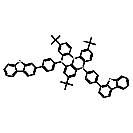 CC(C)(C)c1ccc2c(c1)B1c3ccc(C(C)(C)C)cc3N(c3ccc(-c4ccc5c(c4)oc4ccccc45)cc3)c3cc(C(C)(C)C)cc(c31)N2c1ccc(-c2cccc3c2oc2ccccc23)cc1